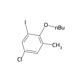 CCCCOc1c(C)cc(Cl)cc1I